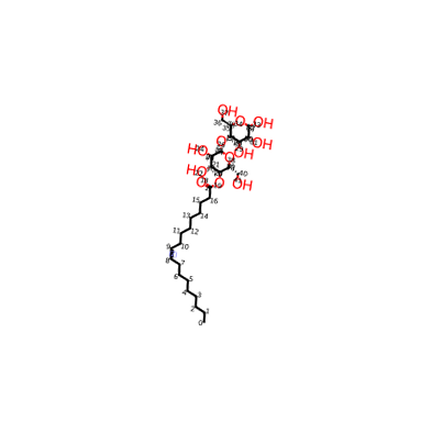 CCCCCCCC/C=C\CCCCCCCC(=O)O[C@H]1[C@H](O)[C@@H](O)[C@H](O[C@H]2[C@H](O)[C@@H](O)[C@H](O)O[C@@H]2CO)O[C@@H]1CO